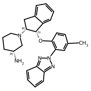 Cc1ccc(O[C@H]2c3ccccc3C[C@H]2N2CCC[C@@H](N)C2)c(-n2nc3ccccc3n2)c1